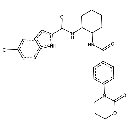 O=C(NC1CCCCC1NC(=O)c1cc2cc(Cl)ccc2[nH]1)c1ccc(N2CCCOC2=O)cc1